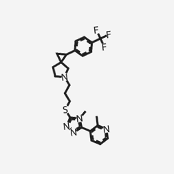 Cc1ncccc1-c1nnc(SCCCN2CCC3(CC3c3ccc(C(F)(F)F)cc3)C2)n1C